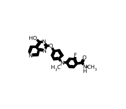 CNC(=O)c1ccc(N(C)c2ccc(Oc3nc(O)c4ccncc4n3)cc2)cc1F